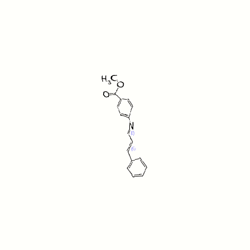 COC(=O)c1ccc(/N=C/C=C/c2ccccc2)cc1